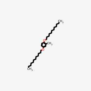 CCCCCCCCCCCCOc1ccc(OCCCCCCCCCCCC)c(C)c1